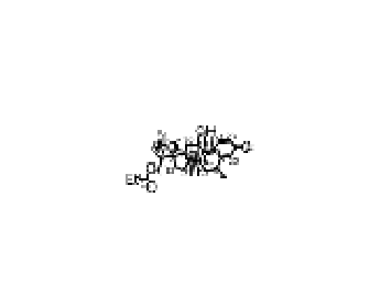 CCC(=O)OCC(=O)[C@@]1(OC(=O)CC)CC[C@H]2[C@@H]3C[C@H](F)C4=CC(=O)C=C[C@]4(C)[C@H]3C(O)C[C@@]21C